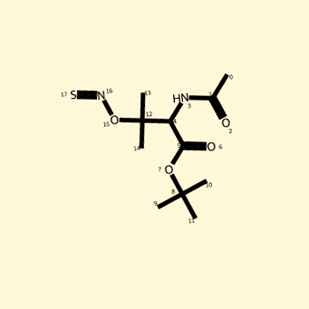 CC(=O)NC(C(=O)OC(C)(C)C)C(C)(C)ON=S